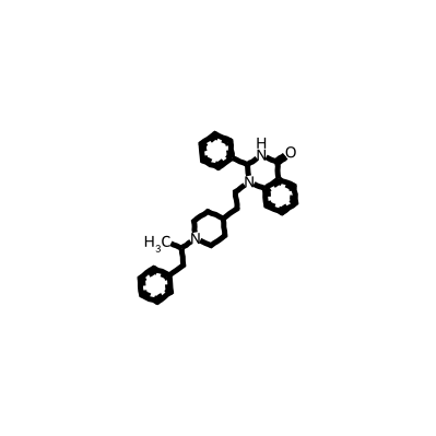 CC(Cc1ccccc1)N1CCC(CCN2c3ccccc3C(=O)NC2c2ccccc2)CC1